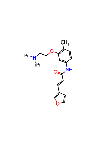 Cc1ccc(NC(=O)/C=C/c2ccoc2)cc1OCCN(C(C)C)C(C)C